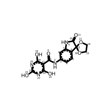 O=C(Nc1ccc2c(c1)NC(=O)C21OCCO1)c1c(O)nc(O)nc1O